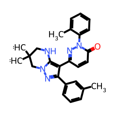 [CH]C1([CH])CNc2c(-c3ccc(=O)n(-c4ccccc4C)n3)c(-c3cccc(C)c3)nn2C1